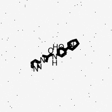 O=C(Nc1ccc(C2CC3CCC(C2)N3C(=O)O)cc1)C1CN(c2cccnn2)C1